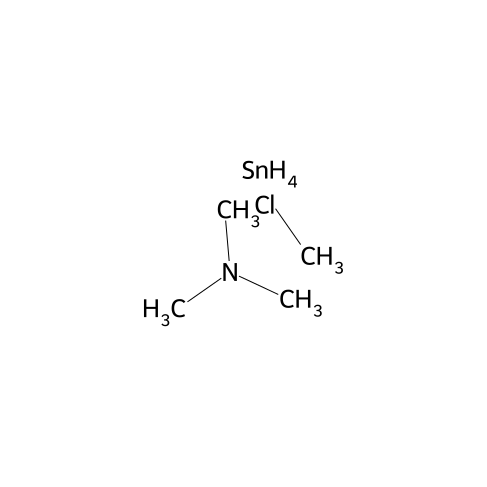 CCl.CN(C)C.[SnH4]